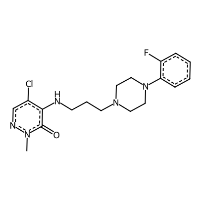 Cn1ncc(Cl)c(NCCCN2CCN(c3ccccc3F)CC2)c1=O